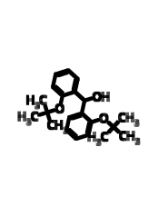 CC(C)(C)Oc1ccccc1C(O)c1ccccc1OC(C)(C)C